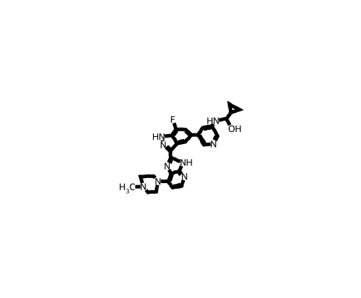 CN1CCN(c2ccnc3[nH]c(-c4n[nH]c5c(F)cc(-c6cncc(NC(O)C7CC7)c6)cc45)nc23)CC1